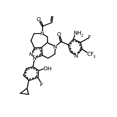 C=CC(=O)N1CCc2nn(-c3ccc(C4CC4)c(F)c3O)c3c2C(C1)N(C(=O)c1cnc(C(F)(F)F)c(F)c1N)CC3